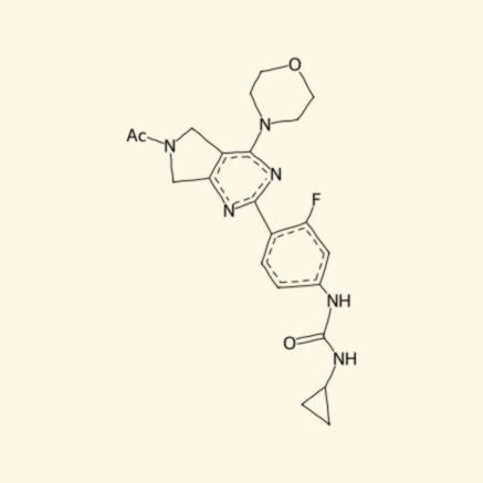 CC(=O)N1Cc2nc(-c3ccc(NC(=O)NC4CC4)cc3F)nc(N3CCOCC3)c2C1